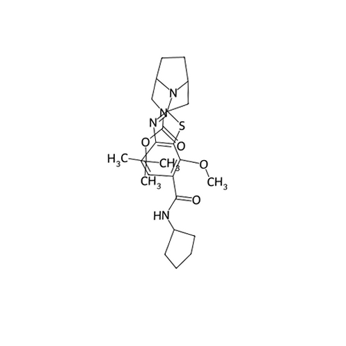 COc1c(C(=O)NC2CCCC2)ccc2nc(N3C4CCC3CN(C(=O)OC(C)(C)C)C4)sc12